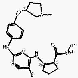 CC(C)NC(=O)[C@H]1CCC[C@H]1Nc1nc(Nc2ccc(O[C@@H]3CCN(C)C3)cc2)ncc1Br